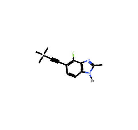 CCn1c(C)nc2c(F)c(C#C[Si](C)(C)C)ccc21